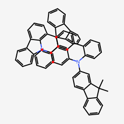 CC1(C)c2ccccc2-c2ccc(N(c3ccc4c(c3)C3(c5ccccc5-c5ccccc53)c3cccc5c6ccccc6n-4c35)c3ccccc3-c3cccc(-c4ccccc4)c3)cc21